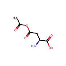 CC(=O)OC(=O)C[C@H](N)C(=O)O